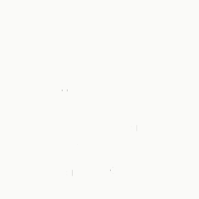 Clc1cc(OC2=CCCCC2)cc(Cl)c1Cl